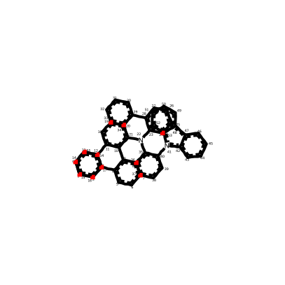 c1ccc(-c2ccccc2-c2c(-c3ccccc3)cccc2N(c2ccccc2-c2ccccc2)c2ccccc2-n2c3ccccc3c3ccccc32)cc1